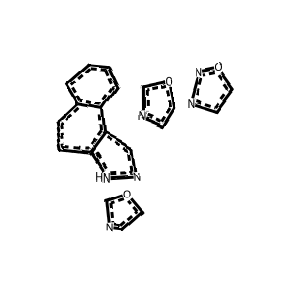 c1ccc2c(c1)ccc1[nH]ncc12.c1cocn1.c1cocn1.c1conn1